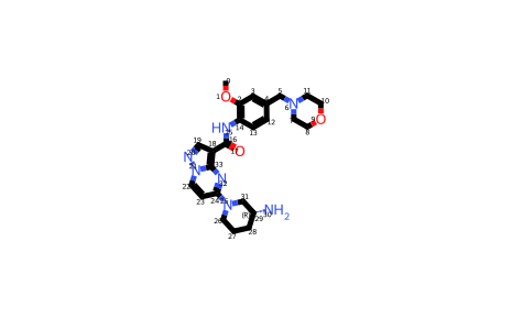 COc1cc(CN2CCOCC2)ccc1NC(=O)c1cnn2ccc(N3CCC[C@@H](N)C3)nc12